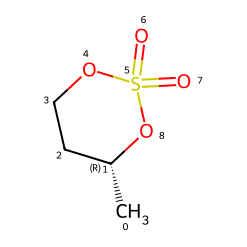 C[C@@H]1CCOS(=O)(=O)O1